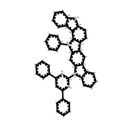 c1ccc(-c2cc(-c3ccccc3)nc(-n3c4ccccc4c4cc5c6ccc7sc8ccccc8c7c6n(-c6ccccc6)c5cc43)n2)cc1